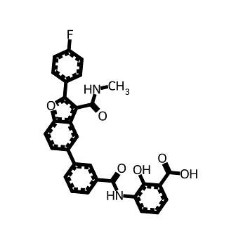 CNC(=O)c1c(-c2ccc(F)cc2)oc2ccc(-c3cccc(C(=O)Nc4cccc(C(=O)O)c4O)c3)cc12